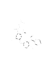 CCc1cnc(Nc2cc([N+](=O)[O-])c(N(C)CCN(C)C)cc2OC)nc1/C(C=N)=C1\C=CC=CN1